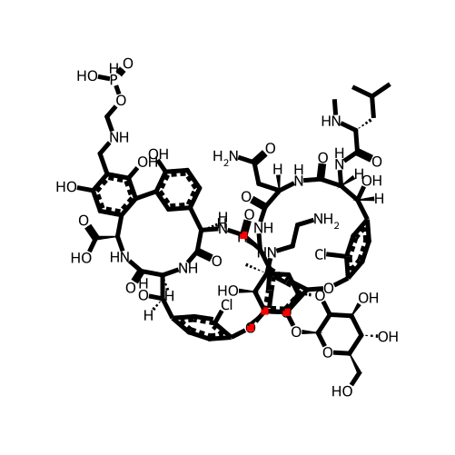 CN[C@H](CC(C)C)C(=O)N[C@H]1C(=O)N[C@@H](CC(N)=O)C(=O)N[C@H]2C(=O)N[C@H]3C(=O)N[C@H](C(=O)N[C@@H](C(=O)O)c4cc(O)c(CNCO[PH](=O)O)c(O)c4-c4cc3ccc4O)[C@H](O)c3ccc(c(Cl)c3)Oc3cc2cc(c3O[C@@H]2O[C@H](CO)[C@@H](O)[C@H](O)C2O[C@H]2C[C@](C)(NCCN)[C@H](O)[C@H](C)O2)Oc2ccc(cc2Cl)[C@H]1O